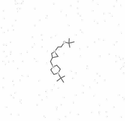 CC(C)(C)OCCN1CC(CN2CCN(C(C)(C)C)CC2)C1